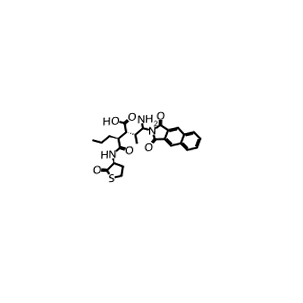 CCC[C@H](C(=O)N[C@H]1CCSC1=O)[C@H](C(=O)O)C(C)C(N)N1C(=O)c2cc3ccccc3cc2C1=O